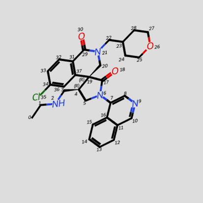 CCNC[C@@H]1CN(c2cncc3ccccc23)C(=O)[C@]12CN(CC1CCOCC1)C(=O)c1ccc(Cl)cc12